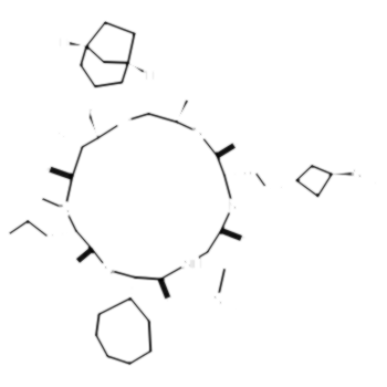 CCC[C@H]1C(=O)N[C@@H](C2CCCCCC2)C(=O)N[C@@H](CN)C(=O)N[C@@H](CO[C@H]2C[C@H](N)C2)C(=O)N[C@H](C)CO[C@H](C[C@@H]2C[C@@H]3CC[C@@H](C3)C2)[C@@H](C)C(=O)N1C